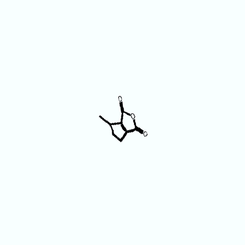 CC1CCC2=C1C(=O)OC2=O